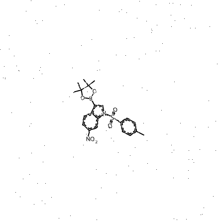 Cc1ccc(S(=O)(=O)n2cc(B3OC(C)(C)C(C)(C)O3)c3ccc([N+](=O)[O-])cc32)cc1